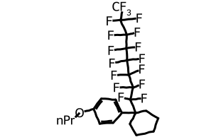 CCCOc1ccc(C2(C(F)(F)C(F)(F)C(F)(F)C(F)(F)C(F)(F)C(F)(F)C(F)(F)C(F)(F)F)CCCCC2)cc1